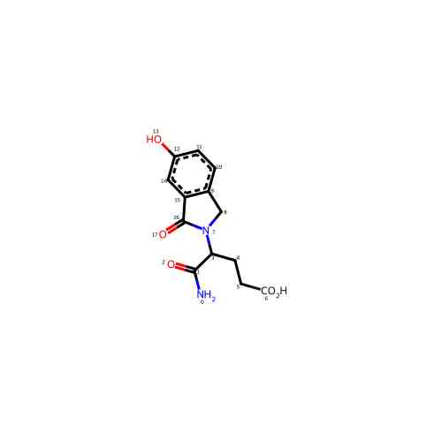 NC(=O)C(CCC(=O)O)N1Cc2ccc(O)cc2C1=O